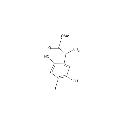 COC(=O)C(C)c1cc(O)c(I)cc1C#N